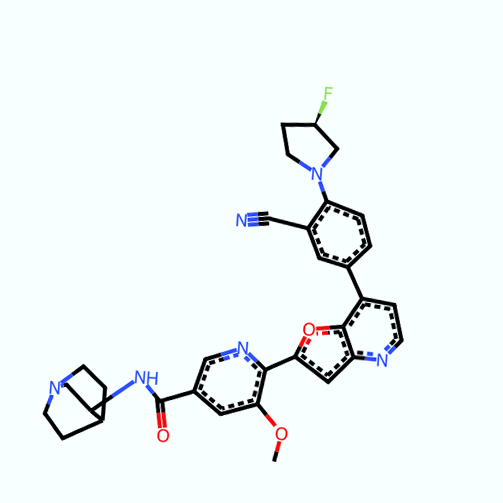 COc1cc(C(=O)NC2CN3CCC2CC3)cnc1-c1cc2nccc(-c3ccc(N4CC[C@@H](F)C4)c(C#N)c3)c2o1